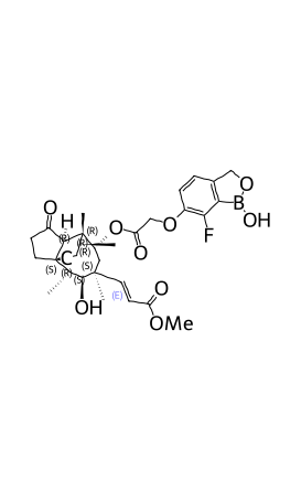 COC(=O)/C=C/[C@]1(C)C[C@@H](OC(=O)COc2ccc3c(c2F)B(O)OC3)[C@]2(C)[C@H](C)CC[C@]3(CCC(=O)[C@H]32)[C@@H](C)[C@@H]1O